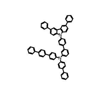 c1ccc(-c2ccc(-c3ccc(N(c4ccc(-c5ccccc5)cc4)c4cccc(-c5ccc(-n6c7ccc(-c8ccccc8)cc7c7cc(-c8ccccc8)ccc76)cc5)c4)cc3)cc2)cc1